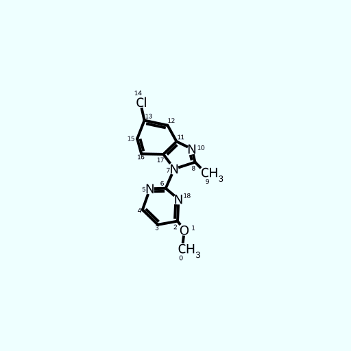 COc1ccnc(-n2c(C)nc3cc(Cl)ccc32)n1